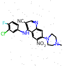 CN1CCN(c2cc3ncc(C#N)c(Nc4ccc(F)c(Cl)c4)c3cc2[N+](=O)[O-])CC1